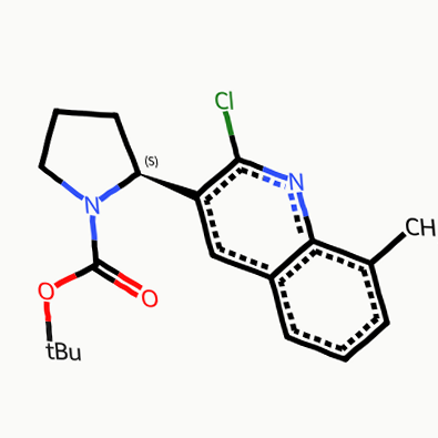 Cc1cccc2cc([C@@H]3CCCN3C(=O)OC(C)(C)C)c(Cl)nc12